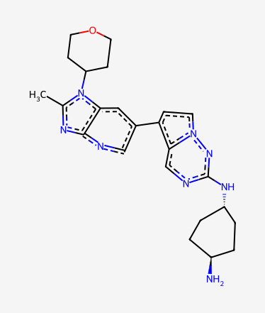 Cc1nc2ncc(-c3ccn4nc(N[C@H]5CC[C@H](N)CC5)ncc34)cc2n1C1CCOCC1